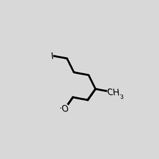 CC(CC[O])CCCI